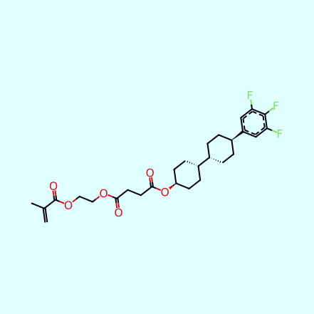 C=C(C)C(=O)OCCOC(=O)CCC(=O)O[C@H]1CC[C@H]([C@H]2CC[C@H](c3cc(F)c(F)c(F)c3)CC2)CC1